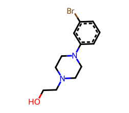 OCCN1CCN(c2cccc(Br)c2)CC1